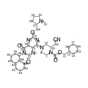 Cc1nc2c(N3CCN(C(=O)OCc4ccccc4)C(CC#N)C3)nc(OCC3CCCN3C)nc2c(=O)n1-c1cccc2cccc(Cl)c12